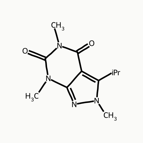 CC(C)c1c2c(=O)n(C)c(=O)n(C)c2nn1C